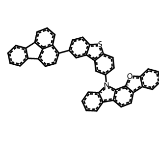 c1ccc2c(c1)-c1cccc3c(-c4ccc5sc6ccc(-n7c8ccccc8c8ccc9c%10ccccc%10oc9c87)cc6c5c4)ccc-2c13